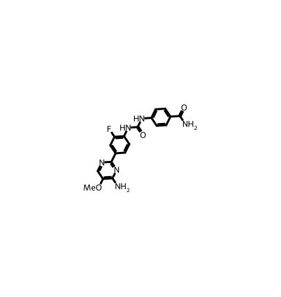 COc1cnc(-c2ccc(NC(=O)Nc3ccc(C(N)=O)cc3)c(F)c2)nc1N